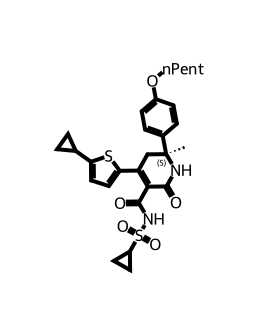 CCCCCOc1ccc([C@]2(C)CC(c3ccc(C4CC4)s3)=C(C(=O)NS(=O)(=O)C3CC3)C(=O)N2)cc1